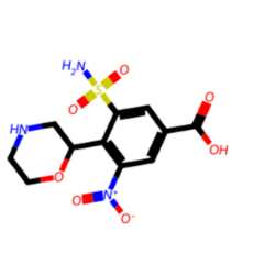 NS(=O)(=O)c1cc(C(=O)O)cc([N+](=O)[O-])c1C1CNCCO1